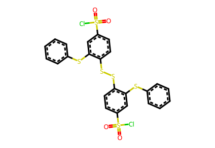 O=S(=O)(Cl)c1ccc(SSc2ccc(S(=O)(=O)Cl)cc2Sc2ccccc2)c(Sc2ccccc2)c1